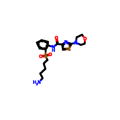 NCCCCCS(=O)(=O)c1ccccc1NC(=O)c1csc(N2CCOCC2)n1